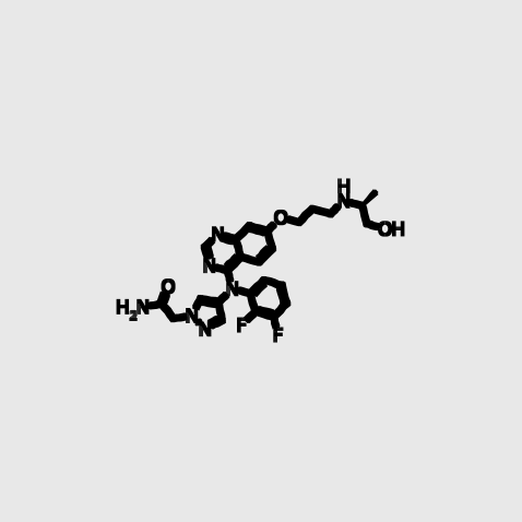 C[C@@H](CO)NCCCOc1ccc2c(N(c3cnn(CC(N)=O)c3)c3cccc(F)c3F)ncnc2c1